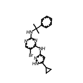 CC(C)(Nc1ncc(Br)c(Nc2cc(C3CC3)[nH]n2)n1)c1ccccc1